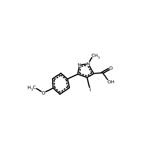 COc1ccc(-c2nn(C)c(C(=O)O)c2I)cc1